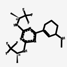 CNC1C=C(c2nc(N[C@H](C)C(F)(F)F)nc(N[C@H](C)C(F)(F)F)n2)CCC1